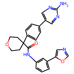 Nc1ncc(-c2ccc(C3(C(=O)Nc4cccc(-c5cnco5)c4)CCOCC3)cc2)cn1